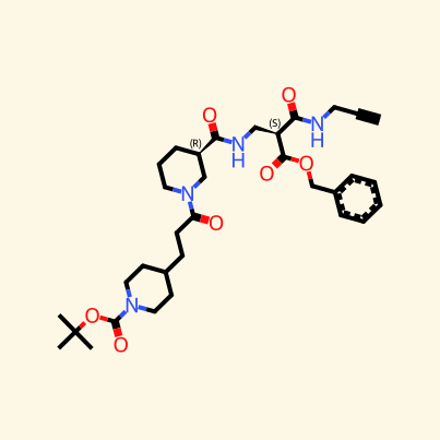 C#CCNC(=O)[C@H](CNC(=O)[C@@H]1CCCN(C(=O)CCC2CCN(C(=O)OC(C)(C)C)CC2)C1)C(=O)OCc1ccccc1